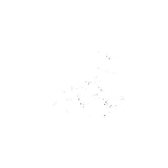 C[C@@H]1CC1c1ccccc1-c1ncc2c(N3C[C@H]4CC[C@@H](C3)N4)nc(OCC34CCCN3CCC4)nc2c1F